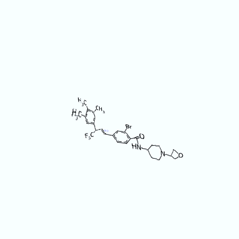 Cc1cc(C(/C=C/c2ccc(C(=O)NC3CCN(C4COC4)CC3)c(Br)c2)C(F)(F)F)cc(C)c1C